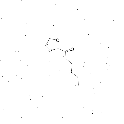 CCCCCC(=O)C1OCCO1